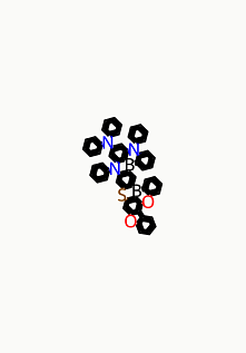 c1ccc(N(c2ccccc2)c2cc3c4c(c2)N(c2ccccc2)c2cc5c(cc2B4c2ccccc2N3c2ccccc2)B2c3ccccc3Oc3c2c(cc2oc4ccccc4c32)S5)cc1